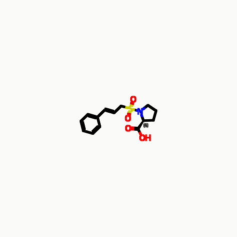 O=C(O)[C@@H]1CCCN1S(=O)(=O)CC=Cc1ccccc1